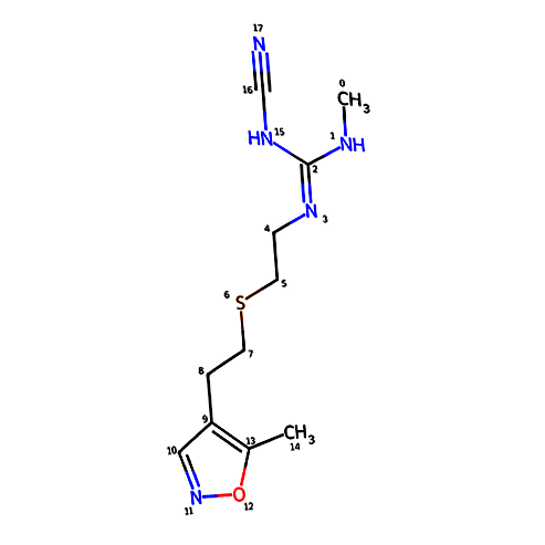 CNC(=NCCSCCc1cnoc1C)NC#N